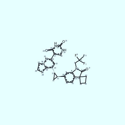 O=C1N(CC(F)(F)F)c2cc([C@H]3C[C@@H]3c3cc(-c4c[nH]c(=O)[nH]c4=O)nn4ccnc34)ccc2C12CCC2